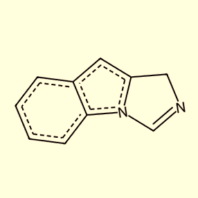 C1=NCc2cc3ccccc3n21